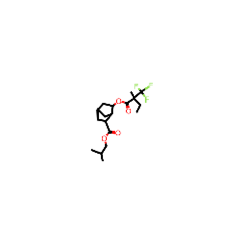 CCC(C)(C(=O)OC1CC2CC(C(=O)OCC(C)C)C1C2)C(F)(F)F